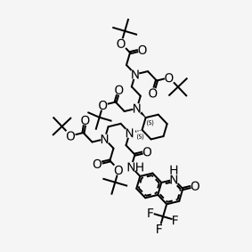 CC(C)(C)OC(=O)CN(CCN(CC(=O)Nc1ccc2c(C(F)(F)F)cc(=O)[nH]c2c1)[C@H]1CCCC[C@@H]1N(CCN(CC(=O)OC(C)(C)C)CC(=O)OC(C)(C)C)CC(=O)OC(C)(C)C)CC(=O)OC(C)(C)C